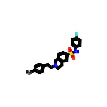 Cc1ccc(CCN2CCc3cc(S(=O)(=O)Nc4ccc(F)cc4)ccc3C2)cc1